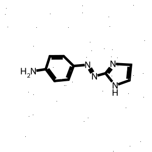 Nc1ccc(N=Nc2ncc[nH]2)cc1